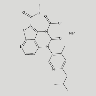 COC(=O)c1sc2nccc3c2c1N(C(=O)[O-])C(=O)N3c1cnc(CC(C)C)cc1C.[Na+]